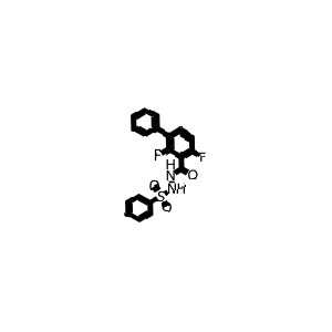 O=C(NNS(=O)(=O)c1ccccc1)c1c(F)ccc(-c2ccccc2)c1F